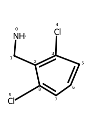 [NH]Cc1c(Cl)cccc1Cl